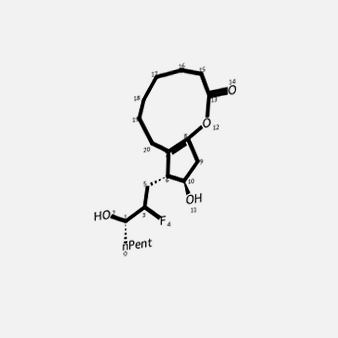 CCCCC[C@H](O)C(F)C[C@@H]1C2=C(C[C@H]1O)OC(=O)CCCCCC2